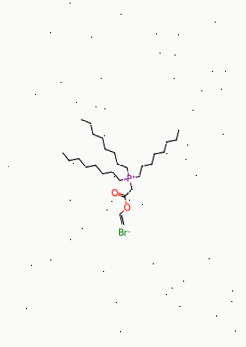 C=COC(=O)C[P+](CCCCCCCC)(CCCCCCCC)CCCCCCCC.[Br-]